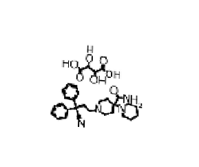 N#CC(CCN1CCC(C(N)=O)(N2CCCCC2)CC1)(c1ccccc1)c1ccccc1.O=C(O)C(O)C(O)C(=O)O